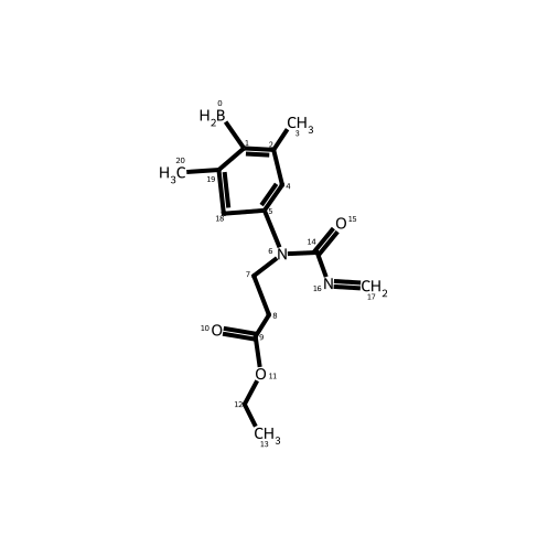 Bc1c(C)cc(N(CCC(=O)OCC)C(=O)N=C)cc1C